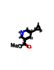 COC(=O)c1cncc(C2CC2)c1